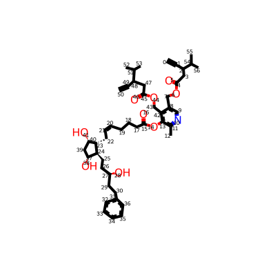 C#CC(CC(=O)OCc1cnc(C)c(OC(=O)CCC/C=C\C[C@@H]2[C@@H](CC[C@@H](O)CCc3ccccc3)[C@H](O)C[C@@H]2O)c1COC(=O)CC(C#C)C(C)C)C(C)C